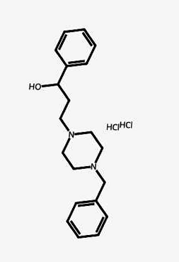 Cl.Cl.OC(CCN1CCN(Cc2ccccc2)CC1)c1ccccc1